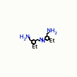 CCc1cc(CCN)cc(CC/N=N/c2cc(CC)cc(CCN)c2)c1